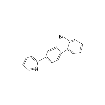 Brc1ccccc1-c1ccc(-c2ccccn2)cc1